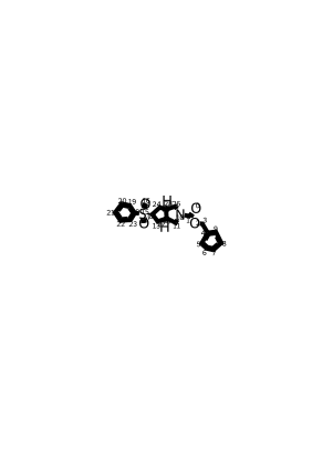 O=C(OCc1ccccc1)N1C[C@H]2C[C@H](S(=O)(=O)c3ccccc3)C[C@H]2C1